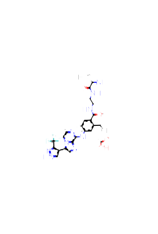 CCc1cc(Nc2nccn3c(-c4c[nH]nc4C(F)(F)F)cnc23)ccc1C(=O)NCCNC(=O)[C@@H](C)N.O=CO